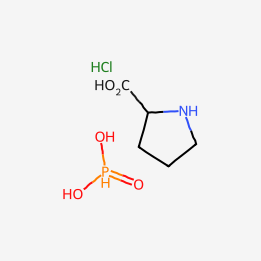 Cl.O=C(O)C1CCCN1.O=[PH](O)O